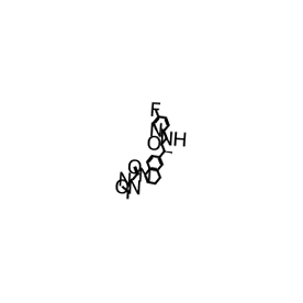 Cc1nc(C(=O)N2CCCc3cc([C@H](C)C(=O)Nc4ccc(F)cn4)ccc32)no1